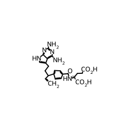 C=CC(CCc1c[nH]c2nc(N)nc(N)c12)c1ccc(C(=O)N[C@@H](CCC(=O)O)C(=O)O)cc1